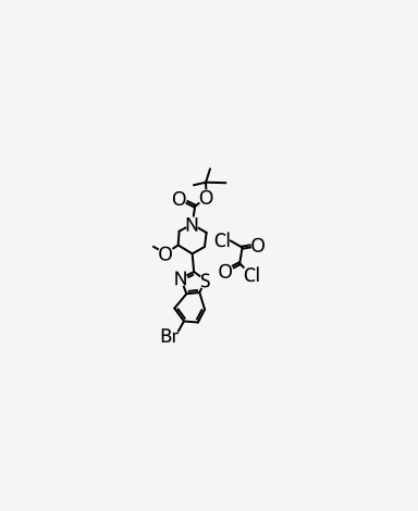 COC1CN(C(=O)OC(C)(C)C)CCC1c1nc2cc(Br)ccc2s1.O=C(Cl)C(=O)Cl